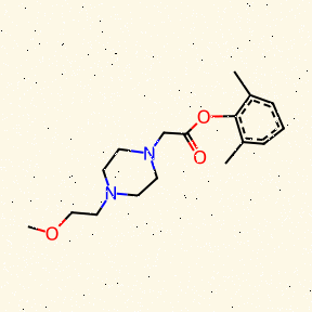 COCCN1CCN(CC(=O)Oc2c(C)cccc2C)CC1